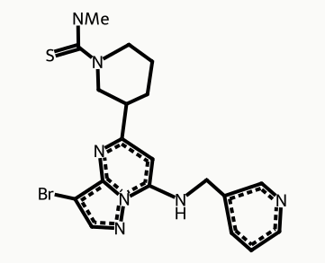 CNC(=S)N1CCCC(c2cc(NCc3cccnc3)n3ncc(Br)c3n2)C1